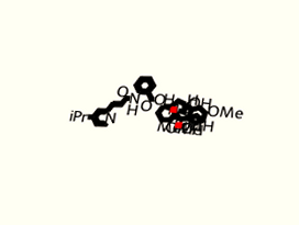 CCN1C[C@]2(OC(=O)c3ccccc3NC(=O)/C=C/c3cc(C(C)C)ccn3)CC[C@H](OC)[C@]34C1[C@@H](C[C@H]23)[C@@]1(O)C[C@H](OC)[C@H]2C[C@@H]4C1(O)[C@H]2OC